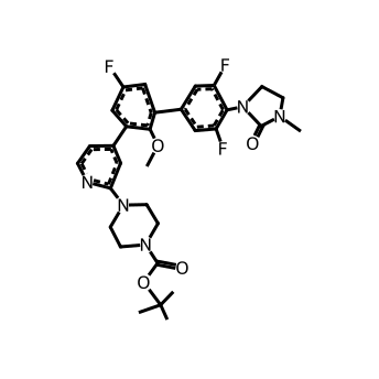 COc1c(-c2ccnc(N3CCN(C(=O)OC(C)(C)C)CC3)c2)cc(F)cc1-c1cc(F)c(N2CCN(C)C2=O)c(F)c1